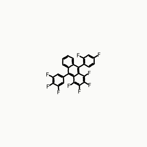 Fc1ccc(-c2c3ccccc3c(-c3cc(F)c(F)c(F)c3)c3c(F)c(F)c(F)c(F)c23)c(F)c1